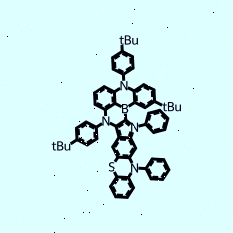 CC(C)(C)c1ccc(N2c3ccc(C(C)(C)C)cc3B3c4c2cccc4N(c2ccc(C(C)(C)C)cc2)c2c3n(-c3ccccc3)c3cc4c(cc23)Sc2ccccc2N4c2ccccc2)cc1